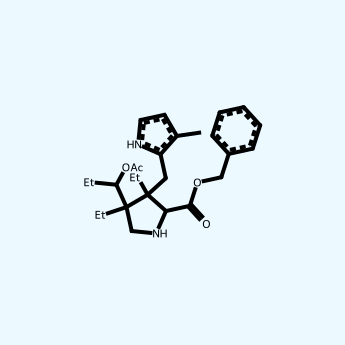 CCC(OC(C)=O)C1(CC)CNC(C(=O)OCc2ccccc2)C1(CC)Cc1[nH]ccc1C